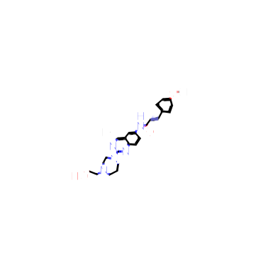 Cc1nc(N2CCCN(CCO)CC2)nc2ccc(NC(=O)/C=C/c3ccc(OC(F)(F)F)cc3)cc12